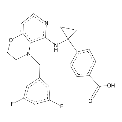 O=C(O)c1ccc(C2(Nc3nccc4c3N(Cc3cc(F)cc(F)c3)CCO4)CC2)cc1